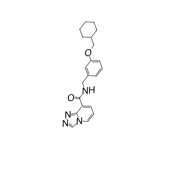 O=C(NCc1cccc(OCC2CCCCC2)c1)c1cccn2cnnc12